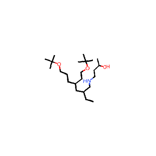 CCC(CNCCC(C)O)CC(CCCOC(C)(C)C)CCOC(C)(C)C